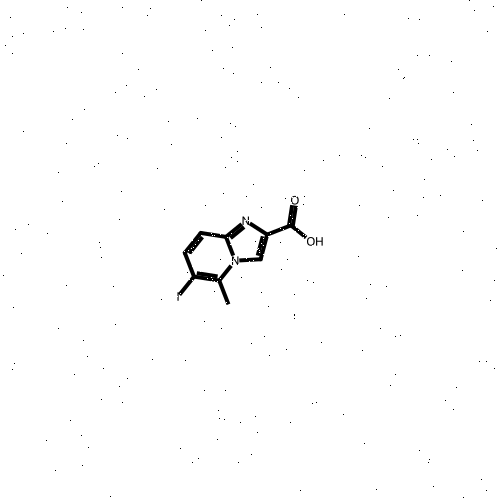 Cc1c(I)ccc2nc(C(=O)O)cn12